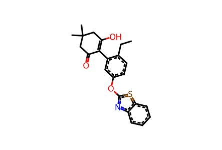 CCc1ccc(Oc2nc3ccccc3s2)cc1C1=C(O)CC(C)(C)CC1=O